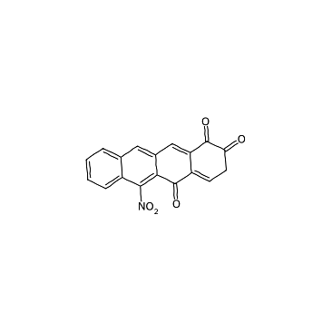 O=C1CC=C2C(=O)c3c(cc4ccccc4c3[N+](=O)[O-])C=C2C1=O